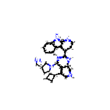 NC[C@@H]1CCN(c2nc(-c3ccnc4[nH]c5ccccc5c34)nc3cncc(C4CCC4)c23)C1